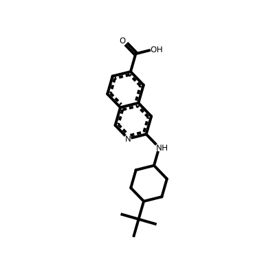 CC(C)(C)C1CCC(Nc2cc3cc(C(=O)O)ccc3cn2)CC1